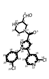 O=CC1CN(C(=O)c2cc(-c3ccnc(Cl)c3)n(-c3cccc(Cl)c3)n2)CCN1